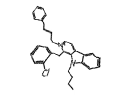 CCCCn1c2ccccc2c2cc[n+](CCCc3ccccc3)c(Cc3ccccc3Cl)c21